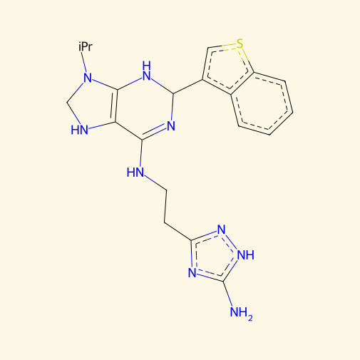 CC(C)N1CNC2=C1NC(c1csc3ccccc13)N=C2NCCc1n[nH]c(N)n1